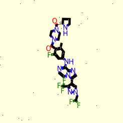 Cc1cc(Nc2nccn3c(-c4cn(CC(F)F)nc4C(F)(F)F)cnc23)cc(F)c1C(=O)N1CCN(C(=O)[C@@H]2CCCN2)CC1